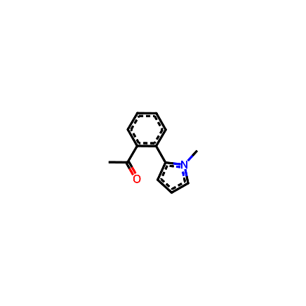 CC(=O)c1ccccc1-c1cccn1C